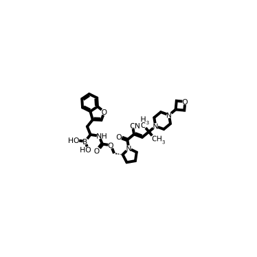 CC(C)(C=C(C#N)C(=O)N1CCC[C@@H]1COC(=O)NC(Cc1coc2ccccc12)B(O)O)N1CCN(C2COC2)CC1